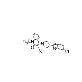 Cn1c(=O)c(C#N)c(N2CCC(c3nc4cc(Cl)ccc4s3)CC2)c2ccccc21